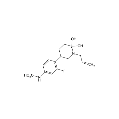 C=CCN1CC(c2ccc(NC(=O)O)cc2F)CCS1(O)O